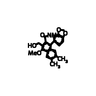 CNC(=O)c1c(CO)c(OC)c2cc(C)c(C)cc2c1-c1ccc2c(c1)OCO2